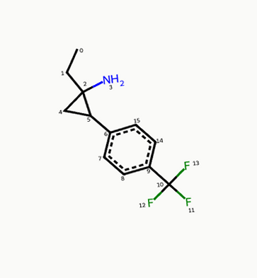 CCC1(N)CC1c1ccc(C(F)(F)F)cc1